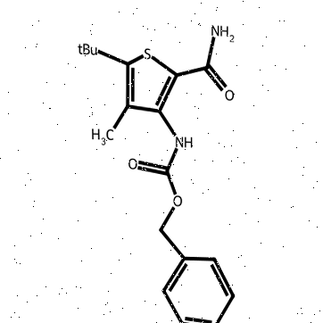 Cc1c(C(C)(C)C)sc(C(N)=O)c1NC(=O)OCc1ccccc1